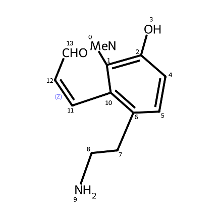 CNc1c(O)ccc(CCN)c1/C=C\C=O